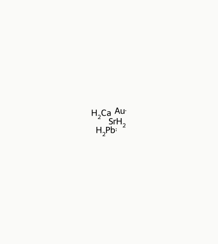 [Au].[CaH2].[PbH2].[SrH2]